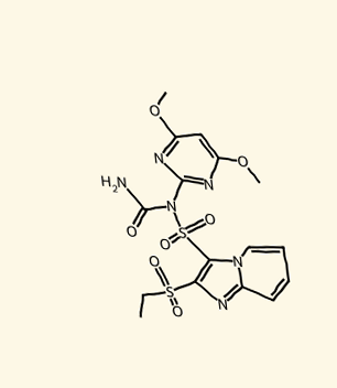 CCS(=O)(=O)c1nc2ccccn2c1S(=O)(=O)N(C(N)=O)c1nc(OC)cc(OC)n1